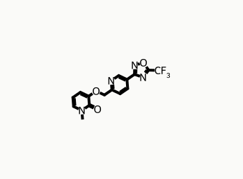 Cn1cccc(OCc2ccc(-c3noc(C(F)(F)F)n3)cn2)c1=O